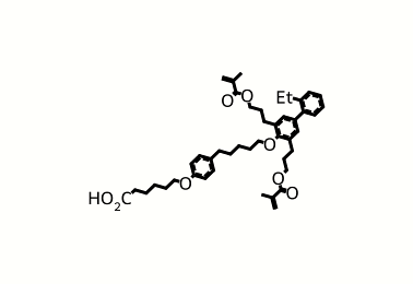 C=C(C)C(=O)OCCCc1cc(-c2ccccc2CC)cc(CCCOC(=O)C(=C)C)c1OCCCCCc1ccc(OCCCCCC(=O)O)cc1